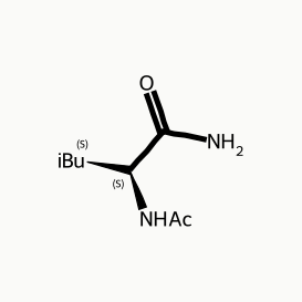 CC[C@H](C)[C@H](NC(C)=O)C(N)=O